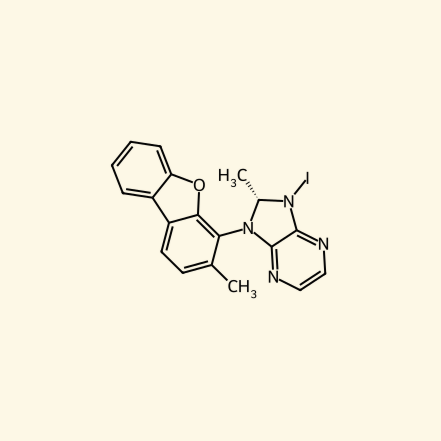 Cc1ccc2c(oc3ccccc32)c1N1c2nccnc2N(I)[C@H]1C